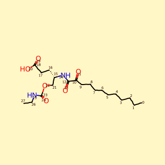 CCCCCCCCCCC(=O)C(=O)N[C@@H](CCC(=O)O)COC(=O)NCC